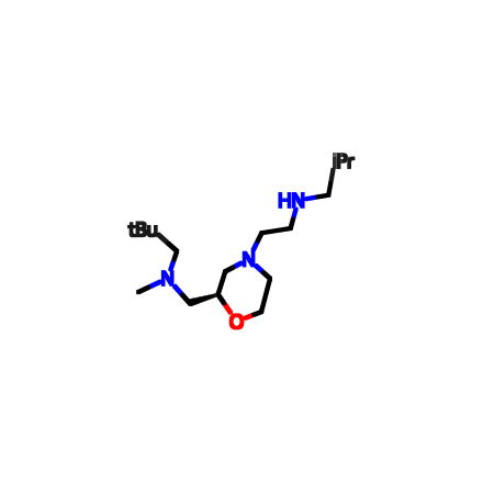 CC(C)CNCCN1CCO[C@@H](CN(C)CC(C)(C)C)C1